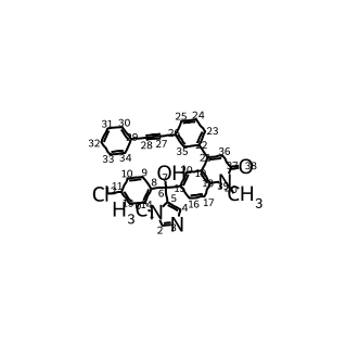 Cn1cncc1C(O)(c1ccc(Cl)cc1)c1ccc2c(c1)c(-c1cccc(C#Cc3ccccc3)c1)cc(=O)n2C